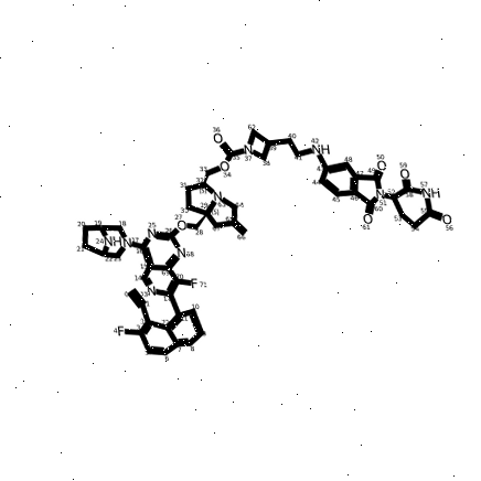 C#Cc1c(F)ccc2cccc(-c3ncc4c(N5CC6CCC(C5)N6)nc(OC[C@@]56CC[C@@H](COC(=O)N7CC(CCNc8ccc9c(c8)C(=O)N(C8CCC(=O)NC8=O)C9=O)C7)N5CC(=C)C6)nc4c3F)c12